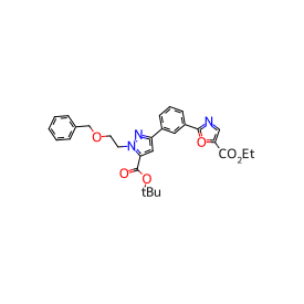 CCOC(=O)c1cnc(-c2cccc(-c3cc(C(=O)OC(C)(C)C)n(CCOCc4ccccc4)n3)c2)o1